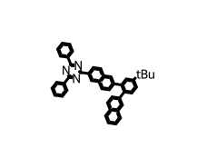 CC(C)(C)c1ccc(-c2ccc3ccccc3c2)c(-c2ccc3cc(-c4nc(-c5ccccc5)nc(-c5ccccc5)n4)ccc3c2)c1